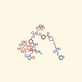 CN(CC(=O)Nc1cc(COC(=O)N(CCS(C)(=O)=O)COc2cccc(C(=O)N3CCC(CCCCNC(=O)/C=C/c4cccnc4)CC3)c2)ccc1O[C@@H]1O[C@H](C(=O)O)[C@@H](O)[C@H](O)[C@H]1O)C(=O)CCN1C(=O)C=CC1=O